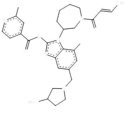 C/C=C/C(=O)N1CCCCC(n2c(NC(=O)c3ccnc(C)c3)nc3cc(CN4CCC(OC)C4)cc(C)c32)C1